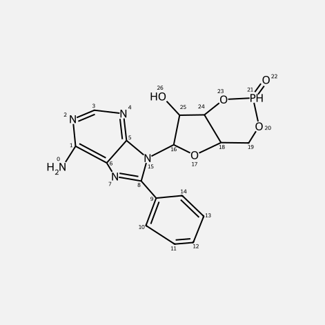 Nc1ncnc2c1nc(-c1ccccc1)n2C1OC2CO[PH](=O)OC2C1O